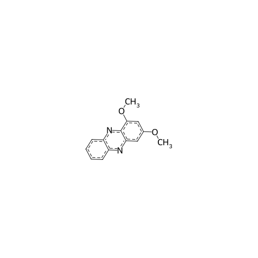 COc1cc(OC)c2nc3ccccc3nc2c1